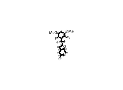 COc1cc(OC)c(F)c(C(F)(F)c2cc3cc(Cl)ncc3o2)c1F